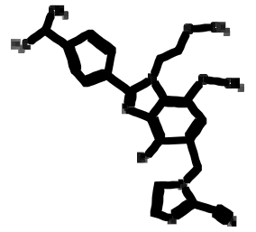 COCCn1c(-c2ccc(C(C)C)cc2)nc2c(Br)c(Cn3ccnc3C#N)cc(OC)c21